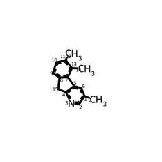 Cc1cnc2c(c1)-c1c(ccc(C)c1C)C2